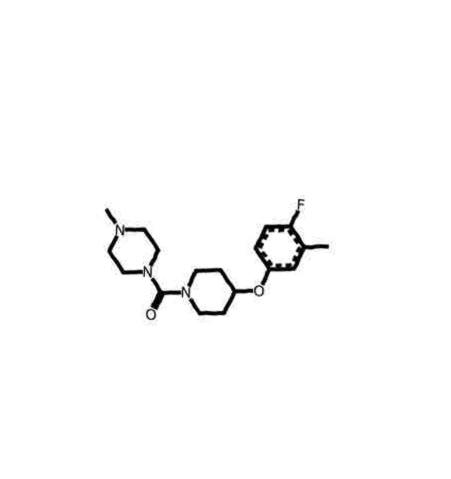 Cc1cc(OC2CCN(C(=O)N3CCN(C)CC3)CC2)ccc1F